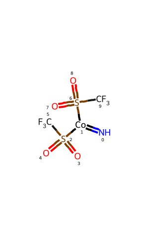 [NH]=[Co]([S](=O)(=O)C(F)(F)F)[S](=O)(=O)C(F)(F)F